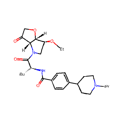 CCO[C@H]1CN(C(=O)[C@@H](NC(=O)c2ccc(C3CCN(C(C)C)CC3)cc2)[C@@H](C)CC)[C@@H]2C(=O)CO[C@H]12